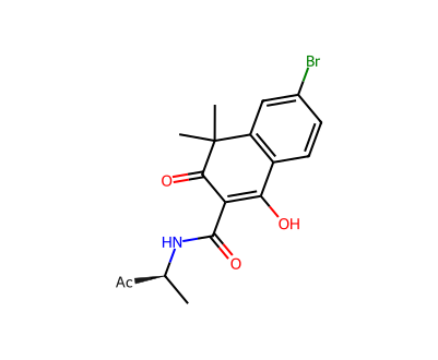 CC(=O)[C@H](C)NC(=O)C1=C(O)c2ccc(Br)cc2C(C)(C)C1=O